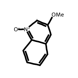 COc1[c][n+]([O-])c2ccccc2c1